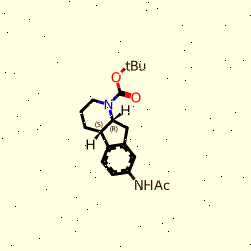 CC(=O)Nc1ccc2c(c1)C[C@@H]1[C@H]2CCCN1C(=O)OC(C)(C)C